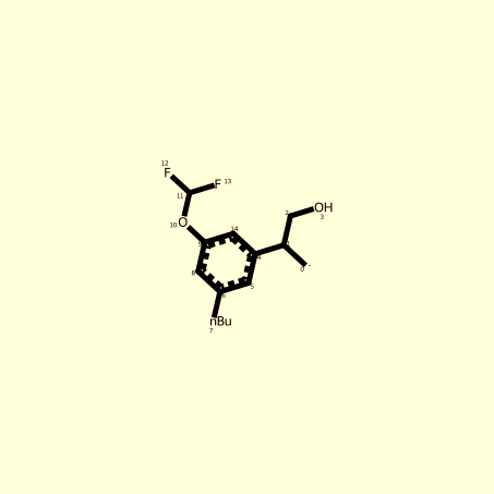 [CH2]C(CO)c1cc(CCCC)cc(OC(F)F)c1